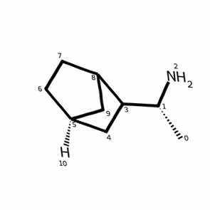 C[C@@H](N)C1C[C@H]2CCC1C2